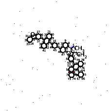 C=Cc1c(/C(=C\C)c2cccc3c(-c4ccc(-c5c6ccccc6c(-c6ccc7oc8ccccc8c7c6)c6ccccc56)cc4)cccc23)oc2ccc(-c3c4ccccc4c(-c4ccccc4-c4ccccc4)c4ccccc34)cc12